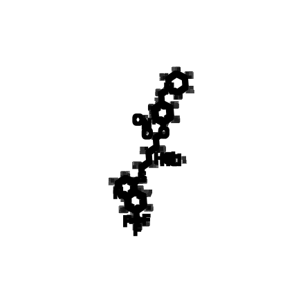 Cl.Cl.O=[N+]([O-])c1cc(CN2CCCCC2)ccc1OCCCCCSc1ccnc2cc(C(F)(F)F)ccc12